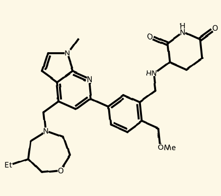 CCC1COCCN(Cc2cc(-c3ccc(COC)c(CNC4CCC(=O)NC4=O)c3)nc3c2ccn3C)C1